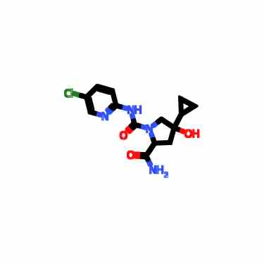 NC(=O)C1CC(O)(C2CC2)CN1C(=O)Nc1ccc(Cl)cn1